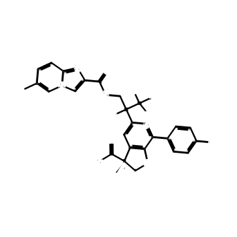 Cc1ccc2nc(C(=O)NCC(O)(c3cc4c(c(-c5ccc(F)cc5)n3)OC[C@]4(C)C(N)=O)C(F)(F)F)cn2c1